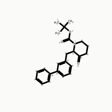 CC(C)(C)OC(=O)N1CCCC(=O)C1Cc1cccc(-c2ccccc2)c1